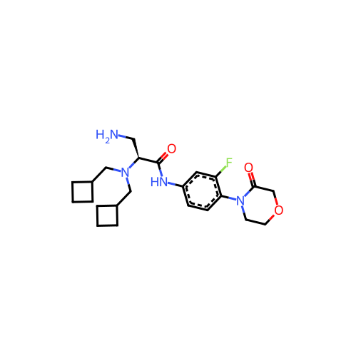 NC[C@@H](C(=O)Nc1ccc(N2CCOCC2=O)c(F)c1)N(CC1CCC1)CC1CCC1